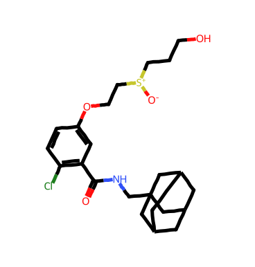 O=C(NCC12CC3CC(CC(C3)C1)C2)c1cc(OCC[S+]([O-])CCCO)ccc1Cl